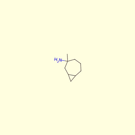 CC1(N)CCCC2CC2C1